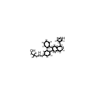 CC(C)(CO)CNCc1ccc(-c2nc3ccnc(-c4cn[nH]c4)c3cc2-c2ccccc2)cc1